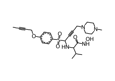 CC#CCOc1ccc(S(=O)(=O)C(C#CCN2CCN(C)CC2)NC(C(=O)NO)C(C)C)cc1